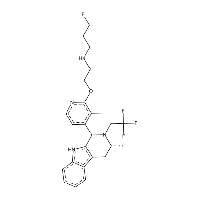 Cc1c(C2c3[nH]c4ccccc4c3C[C@@H](C)N2CC(F)(F)F)ccnc1OCCNCCCF